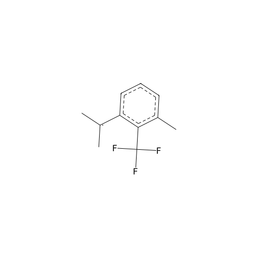 C[C](C)c1cccc(C)c1C(F)(F)F